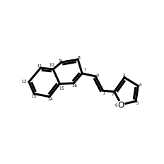 C(=Cc1ccco1)c1ccc2ccccc2c1